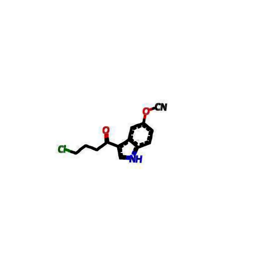 N#COc1ccc2[nH]cc(C(=O)CCCCl)c2c1